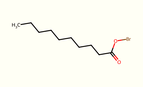 CCCCCCCCCC(=O)OBr